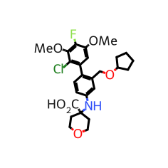 COc1cc(-c2ccc(NC3(C(=O)O)CCOCC3)cc2COC2CCCC2)c(Cl)c(OC)c1F